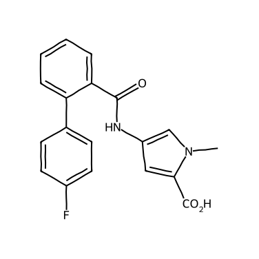 Cn1cc(NC(=O)c2ccccc2-c2ccc(F)cc2)cc1C(=O)O